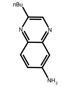 CCCCc1cnc2cc(N)ccc2n1